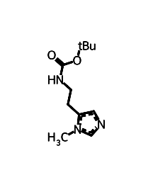 Cn1cncc1CCNC(=O)OC(C)(C)C